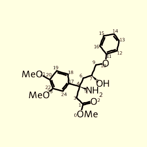 COC(=O)C[C@@](N)(C[C@H](O)COc1ccccc1)c1ccc(OC)c(OC)c1